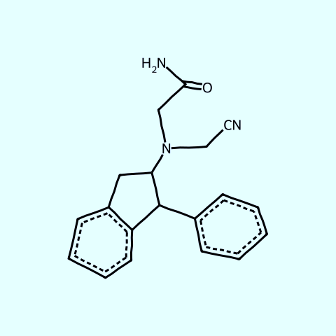 N#CCN(CC(N)=O)C1Cc2ccccc2C1c1ccccc1